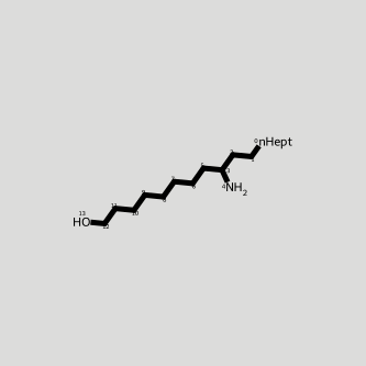 CCCCCCCCCC(N)CCCCCCCCO